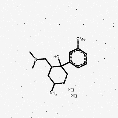 COc1cccc(C2(O)CCC(N)CC2CN(C)C)c1.Cl.Cl